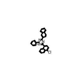 Clc1ccc(C2=NC(c3ccc4ccccc4c3)=NC(c3ccccc3)N2)c2ccccc12